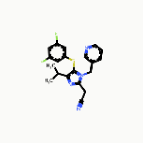 CC(C)c1nc(CC#N)n(Cc2cccnc2)c1Sc1cc(F)cc(F)c1